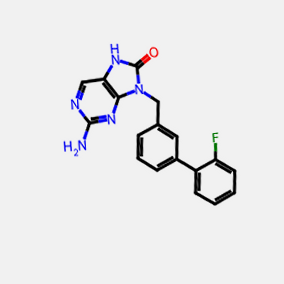 Nc1ncc2[nH]c(=O)n(Cc3cccc(-c4ccccc4F)c3)c2n1